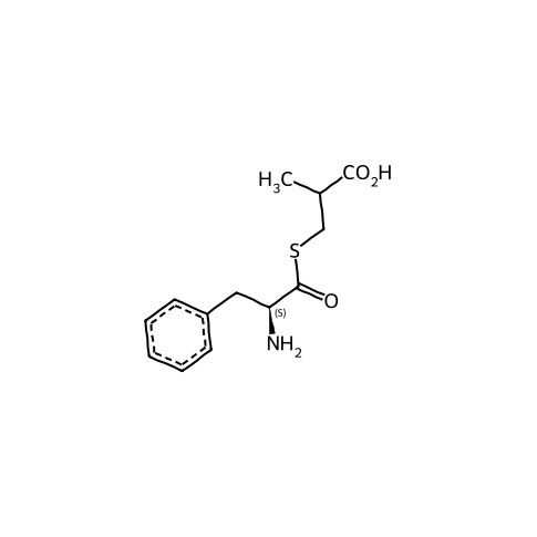 CC(CSC(=O)[C@@H](N)Cc1ccccc1)C(=O)O